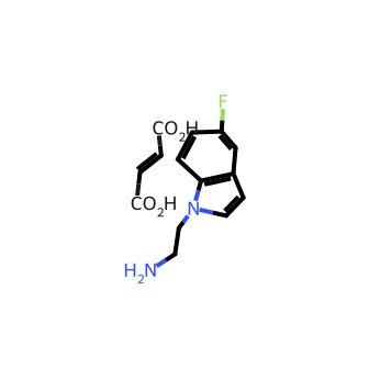 NCCn1ccc2cc(F)ccc21.O=C(O)C=CC(=O)O